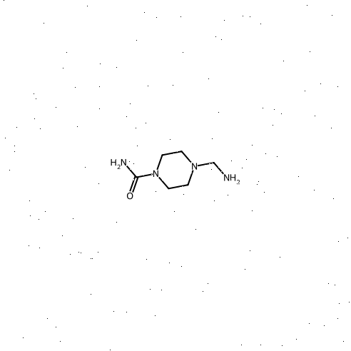 NCN1CCN(C(N)=O)CC1